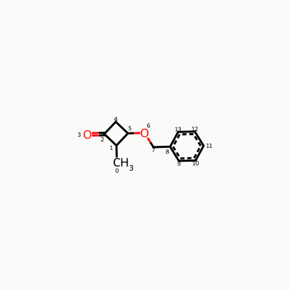 CC1C(=O)CC1OCc1ccccc1